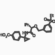 CCS(=O)(=O)c1cccc(CO[C@@H](C(=O)NC2(c3ccc(C(=O)O)cc3)CC2)C(C)C)c1